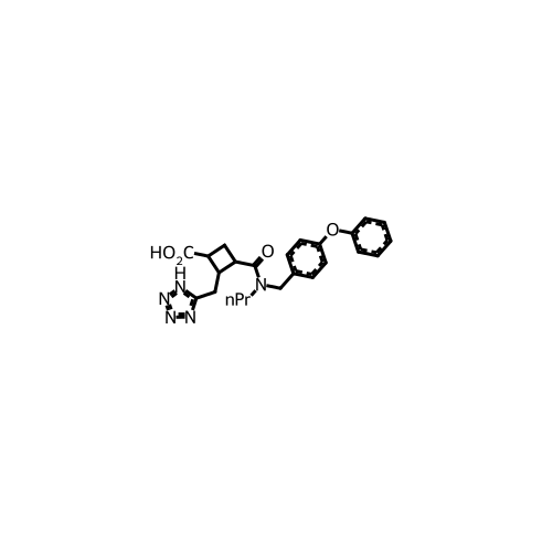 CCCN(Cc1ccc(Oc2ccccc2)cc1)C(=O)C1CC(C(=O)O)C1Cc1nnn[nH]1